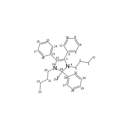 CCCCN1C(c2ccccc2)=C(c2ccccc2)N(CCCC)C1(I)c1ccccc1